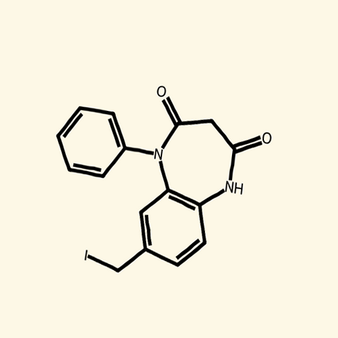 O=C1CC(=O)N(c2ccccc2)c2cc(CI)ccc2N1